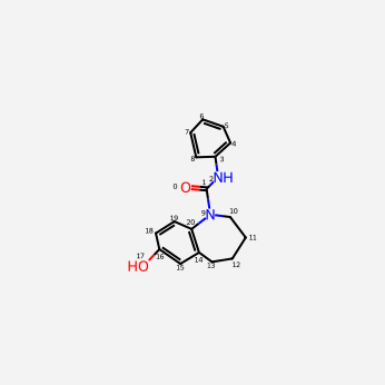 O=C(Nc1ccccc1)N1CCCCc2cc(O)ccc21